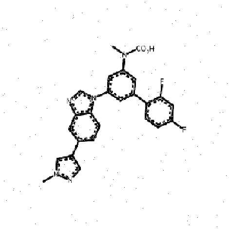 CN(C(=O)O)c1cc(-c2ccc(F)cc2F)cc(-n2cnc3cc(-c4cnn(C)c4)ccc32)c1